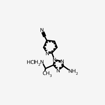 CC(N)c1nc(N)nn1-c1ccc(C#N)cn1.Cl